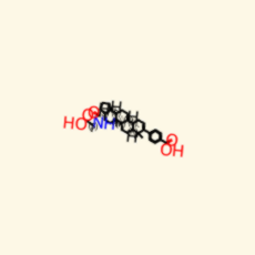 C[C@H](NC(=O)[C@]12CCC[C@@H]1[C@H]1CC[C@@H]3[C@@]4(C)CC=C(c5ccc(C(=O)O)cc5)C(C)(C)[C@@H]4CC[C@@]3(C)[C@]1(C)CC2)C(=O)O